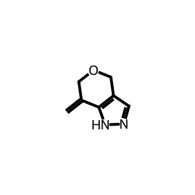 C=C1COCc2cn[nH]c21